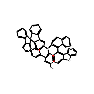 CC(C)(C)c1ccc(N(c2ccc3c(c2)-c2ccccc2C32c3ccccc3-c3ccccc32)c2ccc3ccccc3c2-c2cccc3oc4ccccc4c23)c(-c2ccccc2)c1